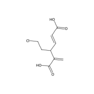 C=C(C(=O)O)C(C=CC(=O)O)CCCl